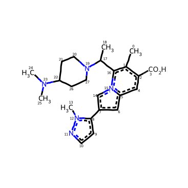 Cc1c(C(=O)O)cc2cc(-c3ccnn3C)cn2c1C(C)N1CCC(N(C)C)CC1